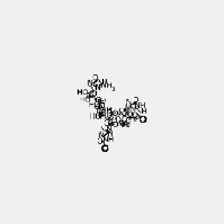 CO[C@@H]1[C@H](O[P@](O)(=S)OC[C@H]2O[C@@H](n3cnc4c(=O)[nH]c(NC(=O)c5ccccc5)nc43)[C@H](OC(=O)C(C)C)[C@@H]2OC(=O)C(C)C)[C@@H](COP(=O)(O)OP(=O)(O)OP(=O)(O)OC[C@H]2O[C@@H](n3c[n+](C)c4c(=O)[nH]c(N)nc43)[C@H](O)[C@@H]2O)O[C@H]1n1cnc2c(NC(=O)c3ccccc3)ncnc21